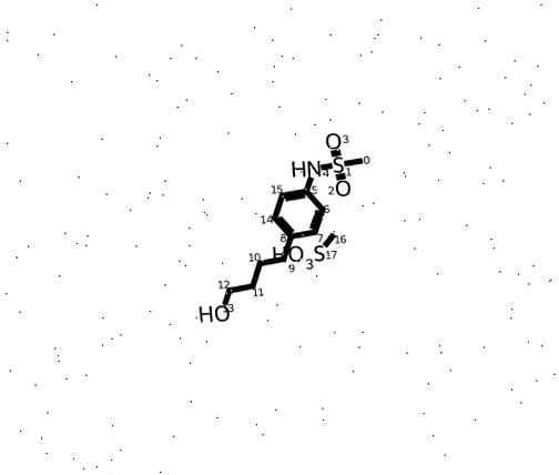 CS(=O)(=O)Nc1ccc(CCCCO)cc1.CS(=O)(=O)O